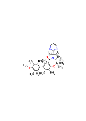 Bc1c(B)c(-c2c(B)c(B)c3c(c2B)C(=O)N(C(B)(B)c2ncccn2)C(B)(B)C(B)(B)O3)c(B)c(B)c1OC(F)(F)F